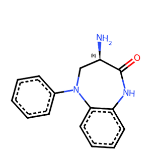 N[C@@H]1CN(c2ccccc2)c2ccccc2NC1=O